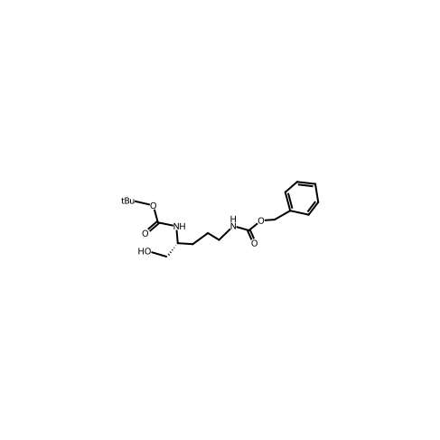 CC(C)(C)OC(=O)N[C@@H](CO)CCCNC(=O)OCc1ccccc1